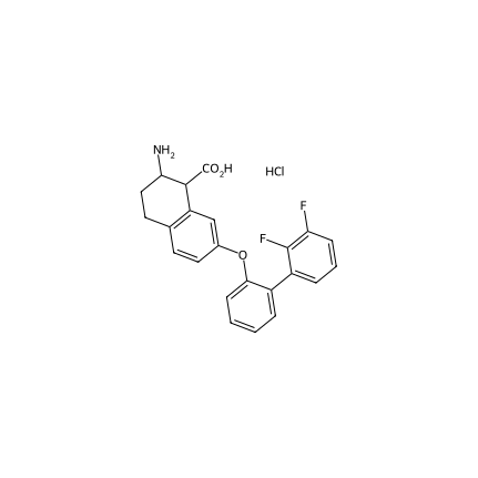 Cl.NC1CCc2ccc(Oc3ccccc3-c3cccc(F)c3F)cc2C1C(=O)O